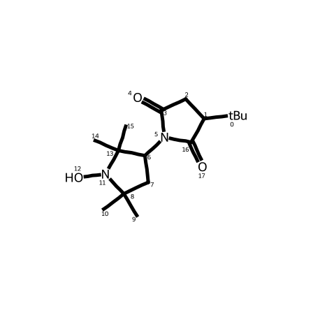 CC(C)(C)C1CC(=O)N(C2CC(C)(C)N(O)C2(C)C)C1=O